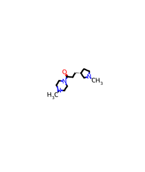 CN1CCN(C(=O)CC[C@@H]2CCN(C)C2)CC1